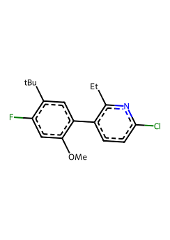 CCc1nc(Cl)ccc1-c1cc(C(C)(C)C)c(F)cc1OC